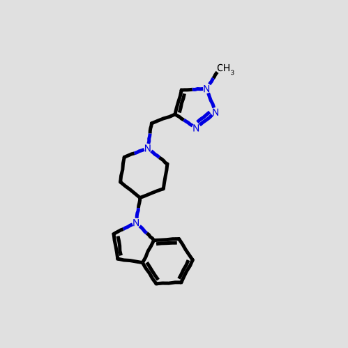 Cn1cc(CN2CCC(n3ccc4ccccc43)CC2)nn1